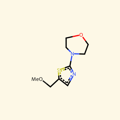 COCc1cnc(N2CCOCC2)s1